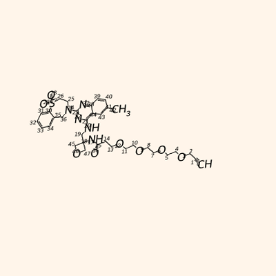 C#CCOCCOCCOCCOCCC(=O)NC1(CNc2nc(N3CCS(=O)(=O)c4ccccc4C3)nc3ccc(C)cc23)COC1